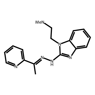 CNCCn1c(N/N=C(\C)c2ccccn2)nc2ccccc21